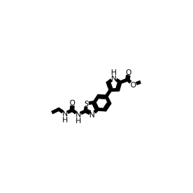 CCNC(=O)Nc1nc2ccc(-c3c[nH]c(C(=O)OC)c3)cc2s1